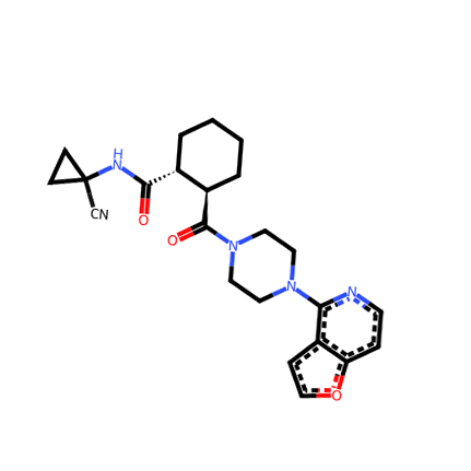 N#CC1(NC(=O)[C@@H]2CCCC[C@H]2C(=O)N2CCN(c3nccc4occc34)CC2)CC1